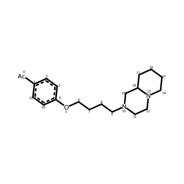 CC(=O)c1ccc(OCCCCN2CCN3CCCCC3C2)cc1